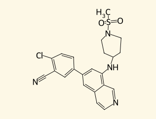 CS(=O)(=O)N1CCC(Nc2cc(-c3ccc(Cl)c(C#N)c3)cc3ccncc23)CC1